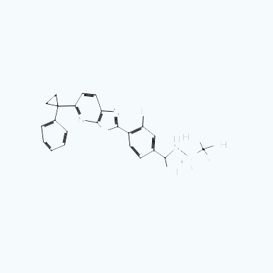 CC(N[S@@+]([O-])C(C)(C)C)c1ccc(-c2nc3ccc(C4(c5ccccc5)CC4)nc3s2)c(F)c1